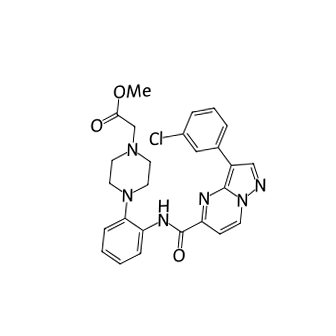 COC(=O)CN1CCN(c2ccccc2NC(=O)c2ccn3ncc(-c4cccc(Cl)c4)c3n2)CC1